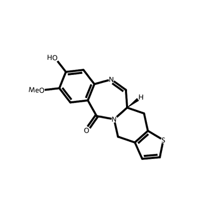 COc1cc2c(cc1O)N=C[C@@H]1Cc3sccc3CN1C2=O